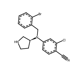 N#Cc1ccc(N(Cc2ccccc2Br)[C@H]2CCNC2)cc1Cl